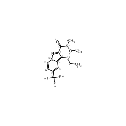 CCSc1c(C(=O)N(C)OC)nn2ccc(C(F)(F)F)cc12